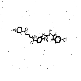 CN1CCN(C(=O)CCCNC(=O)c2ccc3c(c2)nc(Nc2nc4ccc(Cl)cc4s2)n3C)CC1